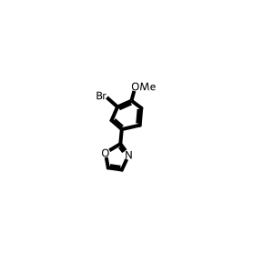 COc1ccc(-c2ncco2)cc1Br